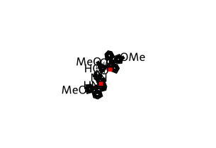 COc1ccc(C(Nc2ncnc3c2ncn3[C@@H]2O[C@H]([C@@H](C)OC(c3ccccc3)(c3ccccc3)c3ccc(OC)cc3)[C@]3(O)C(OC)[C@]23O)(c2ccccc2)c2ccccc2)cc1